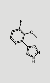 COc1c(-c2cn[nH]c2)[c]ccc1F